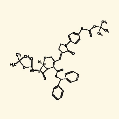 CC(C)(C)OC(=O)N[C@@H]1C(=O)N2C(C(=O)OC(c3ccccc3)c3ccccc3)=C(C=C3CCN(c4ccc(OC(=O)OC(C)(C)C)cc4)C3=O)CS[C@H]12